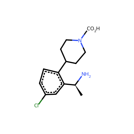 C[C@H](N)c1cc(Cl)ccc1C1CCN(C(=O)O)CC1